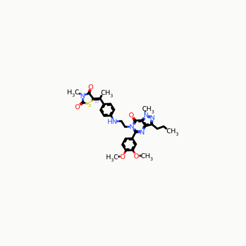 CCCc1nn(C)c2c(=O)n(CCNc3ccc(/C(C)=C4\SC(=O)N(C)C4=O)cc3)c(-c3ccc(OC)c(OC)c3)nc12